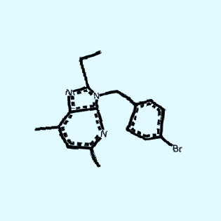 CCc1nc2c(C)cc(C)nc2n1Cc1ccc(Br)cc1